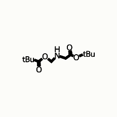 CC(C)(C)OC(=O)CNCOC(=O)C(C)(C)C